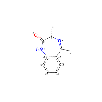 CC1=NC(C)C(=O)Nc2ccccc21